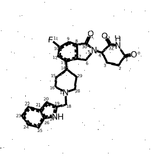 O=C1CCC(N2Cc3c(cc(F)cc3C3CCN(Cc4cc5ccccc5[nH]4)CC3)C2=O)C(=O)N1